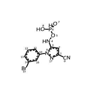 N#Cc1cc(NO[PH](=O)O)n(-c2cccc(Br)c2)n1